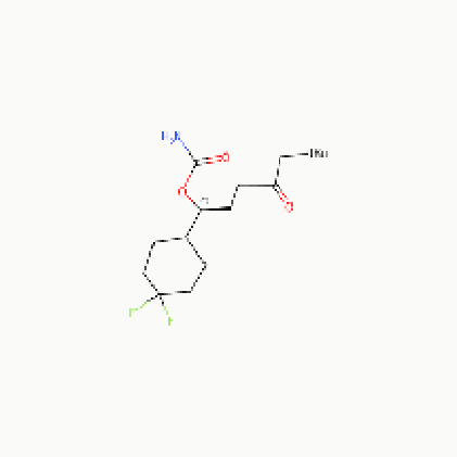 CC(C)(C)CC(=O)CC[C@H](OC(N)=O)C1CCC(F)(F)CC1